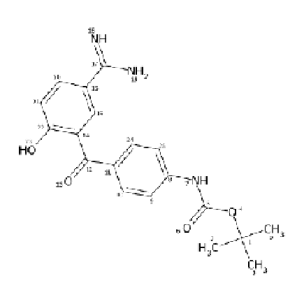 CC(C)(C)OC(=O)Nc1ccc(C(=O)c2cc(C(=N)N)ccc2O)cc1